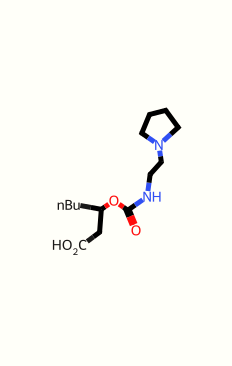 CCCCC(CC(=O)O)OC(=O)NCCN1CCCC1